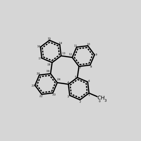 Cc1ccc2c(c1)-c1ccccc1-c1ccccc1-c1ccccc1-2